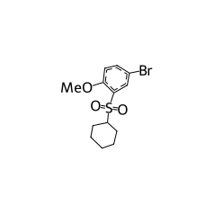 COc1ccc(Br)cc1S(=O)(=O)C1CCCCC1